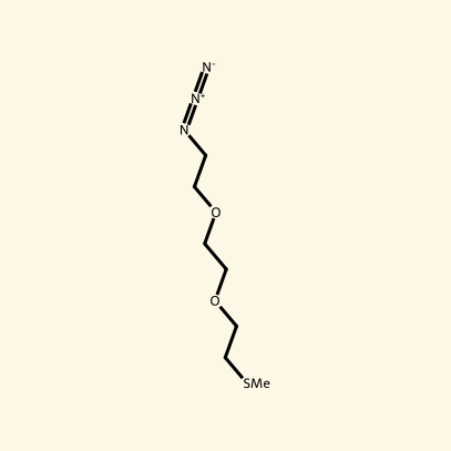 CSCCOCCOCCN=[N+]=[N-]